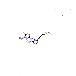 COCCC#Cc1cccc2c1CN(C1CCC(=O)N(C)C1=O)C2=O